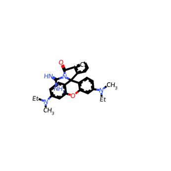 CCN(C)c1ccc2c(c1)Oc1cc(N(C)CC)ccc1C21c2ccccc2C(=O)N1C(=N)N